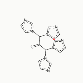 O=C(C(n1ccnc1)n1ccnc1)C(n1ccnc1)n1ccnc1